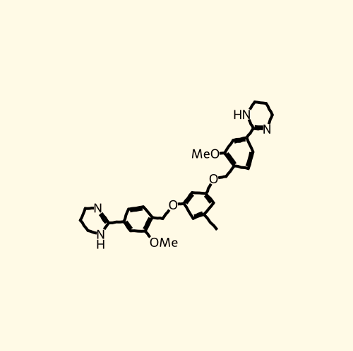 COc1cc(C2=NCCCN2)ccc1COc1cc(C)cc(OCc2ccc(C3=NCCCN3)cc2OC)c1